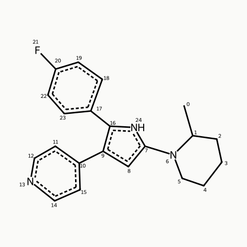 CC1CCCCN1c1cc(-c2ccncc2)c(-c2ccc(F)cc2)[nH]1